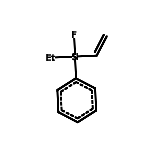 C=C[Si](F)(CC)c1ccccc1